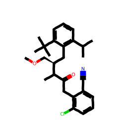 COC[C@@H](Cc1c(C(C)C)cccc1C(C)(C)C)C(C)C(=O)Cc1c(Cl)cccc1C#N